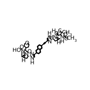 COC(=O)N[C@H](C(=O)[C@@]12C[C@H]1C[C@@H](c1nc(C#Cc3ccc4cc(-c5c[nH]c([C@@H]6C[C@H]7C[C@H]7N6C(=O)[C@@H](NC(=O)O)C6CCOCC6)n5)ccc4c3)c[nH]1)N2)C(C)C